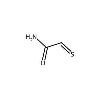 NC(=O)C=S